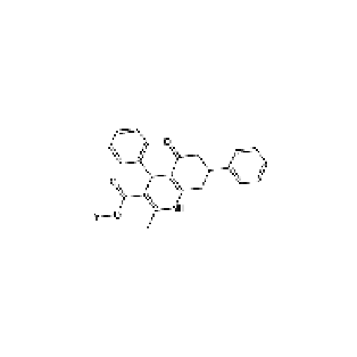 CC1=C(C(=O)OC(C)C)C(c2ccccc2)C2=C(CC(c3ccccc3)CC2=O)N1